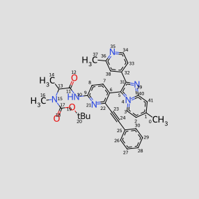 Cc1ccn2c(-c3ccc(NC(=O)C(C)N(C)C(=O)OC(C)(C)C)nc3C#Cc3ccccc3)c(-c3ccnc(C)c3)nc2c1